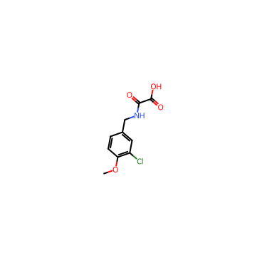 COc1ccc(CNC(=O)C(=O)O)cc1Cl